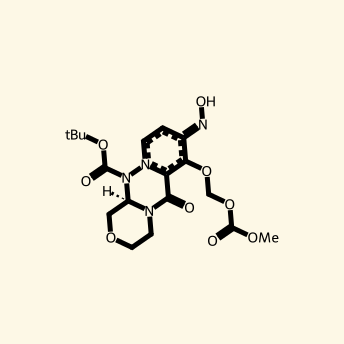 COC(=O)OCOc1c2n(cc/c1=N\O)N(C(=O)OC(C)(C)C)[C@@H]1COCCN1C2=O